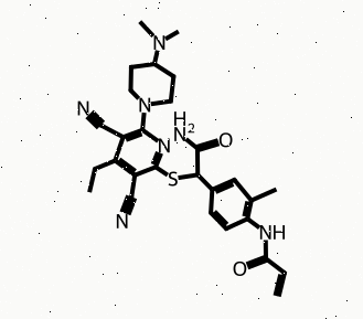 C=CC(=O)Nc1ccc(C(Sc2nc(N3CCC(N(C)C)CC3)c(C#N)c(CC)c2C#N)C(N)=O)cc1C